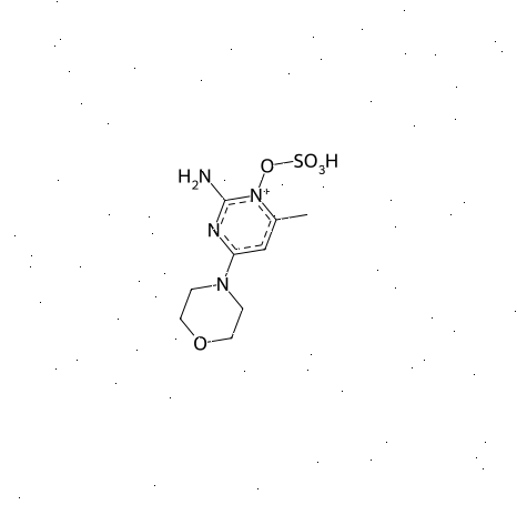 Cc1cc(N2CCOCC2)nc(N)[n+]1OS(=O)(=O)O